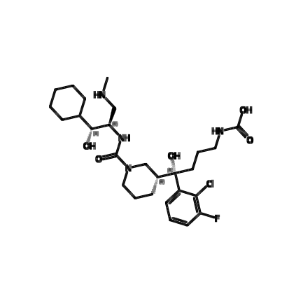 CNC[C@@H](NC(=O)N1CCC[C@@H]([C@@](O)(CCCNC(=O)O)c2cccc(F)c2Cl)C1)[C@H](O)C1CCCCC1